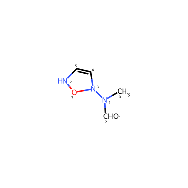 CN([C]=O)N1C=CNO1